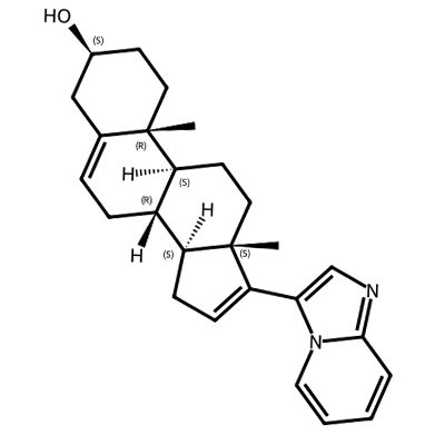 C[C@]12CC[C@H](O)CC1=CC[C@@H]1[C@@H]2CC[C@]2(C)C(c3cnc4ccccn34)=CC[C@@H]12